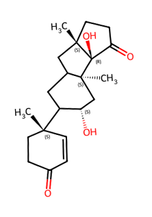 C[C@@]12CCC(=O)[C@]1(O)[C@@]1(C)C[C@H](O)C([C@]3(C)C=CC(=O)CC3)CC1C2